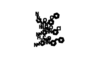 CN(C(=O)Nc1cccc(Cc2ccccc2)c1)C1CCN(C#N)C1.CN(C(=O)Nc1cccc(Cl)c1)C1CCN(C#N)C1.N#CN1CCC(NC(=O)Nc2cccc(Oc3ccccc3)c2)C1